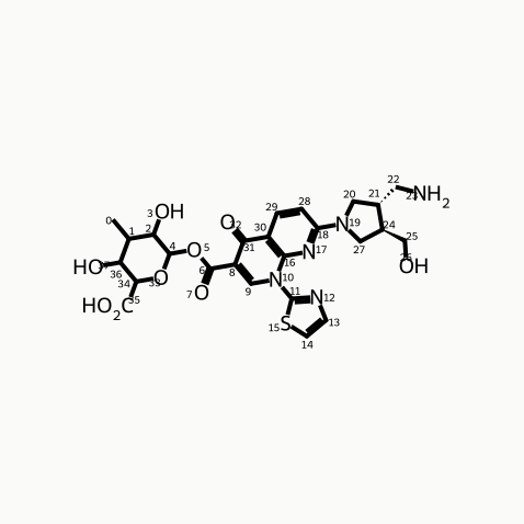 CC1C(O)C(OC(=O)c2cn(-c3nccs3)c3nc(N4C[C@H](CN)[C@@H](CO)C4)ccc3c2=O)OC(C(=O)O)C1O